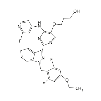 CCOc1cc(F)c(Cn2nc(-c3ncc(OCCCO)c(Nc4ccnc(F)c4)n3)c3ccccc32)c(F)c1